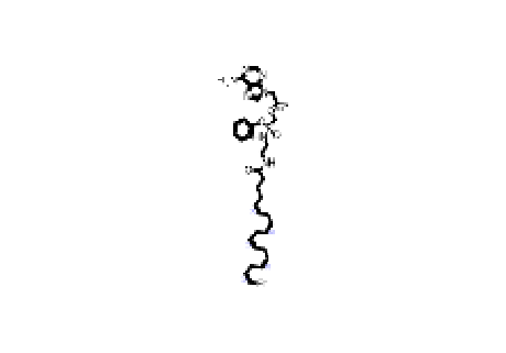 CC/C=C\C/C=C\C/C=C\C/C=C\C/C=C\CCCC(=O)NCCNP(=O)(CO[C@H](C)Cn1cnc2c(N)ncnc21)Oc1ccccc1